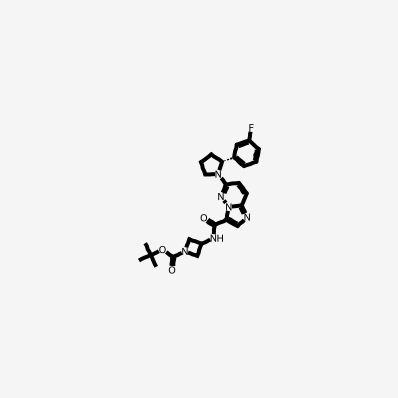 CC(C)(C)OC(=O)N1CC(NC(=O)c2cnc3ccc(N4CCC[C@@H]4c4cccc(F)c4)nn23)C1